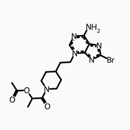 CC(=O)OC(C)C(=O)N1CCC(CCn2cnc(N)c3nc(Br)nc2-3)CC1